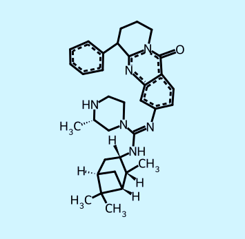 C[C@H]1[C@@H](NC(=Nc2ccc3c(=O)n4c(nc3c2)C(c2ccccc2)CCC4)N2CCN[C@@H](C)C2)C[C@H]2C[C@H]1C2(C)C